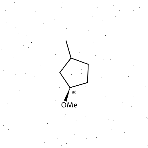 CO[C@@H]1CCC(C)C1